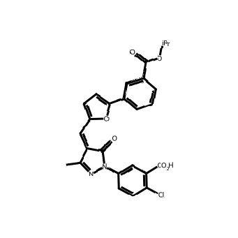 CC1=NN(c2ccc(Cl)c(C(=O)O)c2)C(=O)/C1=C\c1ccc(-c2cccc(C(=O)OC(C)C)c2)o1